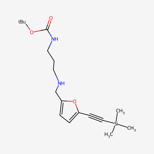 CC(C)(C)OC(=O)NCCCNCc1ccc(C#C[Si](C)(C)C)o1